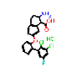 Cl.NC1CCc2ccc(Oc3ccccc3-c3cc(F)cc(Cl)c3Cl)cc2C1C(=O)O